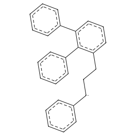 [CH](CCc1cccc(-c2ccccc2)c1-c1ccccc1)c1ccccc1